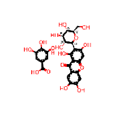 O=C(O)c1cc(O)c(O)c(O)c1.O=c1c2cc(O)c(O)cc2oc2cc(O)c([C@@H]3O[C@H](CO)[C@@H](O)[C@H](O)[C@H]3O)c(O)c12